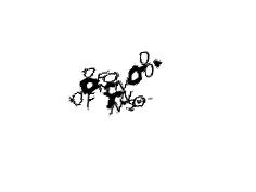 CCOC(=O)C1CCC(N2C(=O)N(c3c(F)c(OC)cc(OC)c3F)Cc3cnc([S+](C)[O-])nc32)CC1